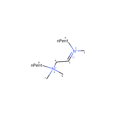 CCCCC/[N+](C)=C\C[N+](C)(C)CCCCC